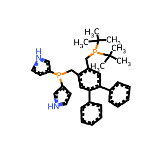 CC(C)(C)P(Cc1cc(-c2ccccc2)c(-c2ccccc2)cc1CP(c1cc[nH]c1)c1cc[nH]c1)C(C)(C)C